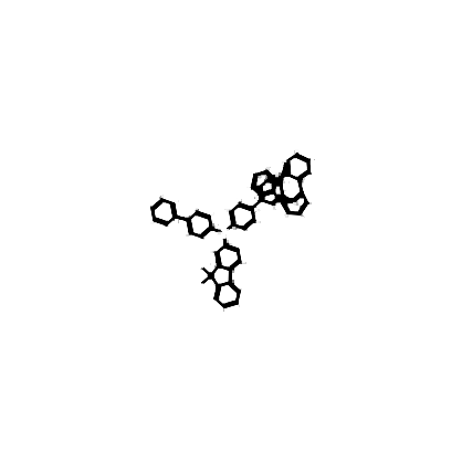 CC1(C)c2ccccc2-c2ccc(N(c3ccc(-c4ccccc4)cc3)c3ccc(-c4ccc5c(c4)-c4c6cccc4-c4cccc-5c4-c4ccccc4-6)cc3)cc21